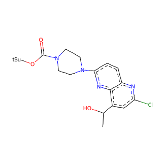 CC(O)c1cc(Cl)nc2ccc(N3CCN(C(=O)OC(C)(C)C)CC3)nc12